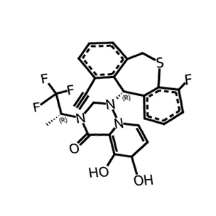 C#Cc1cccc2c1[C@@H](N1CN([C@H](C)C(F)(F)F)C(=O)C3=C(O)C(O)C=CN31)c1cccc(F)c1SC2